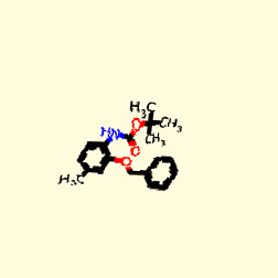 Cc1ccc(NC(=O)OC(C)(C)C)c(OCc2ccccc2)c1